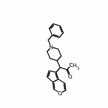 CC(=O)C(c1ccc2coccc1-2)C1CCN(Cc2ccccc2)CC1